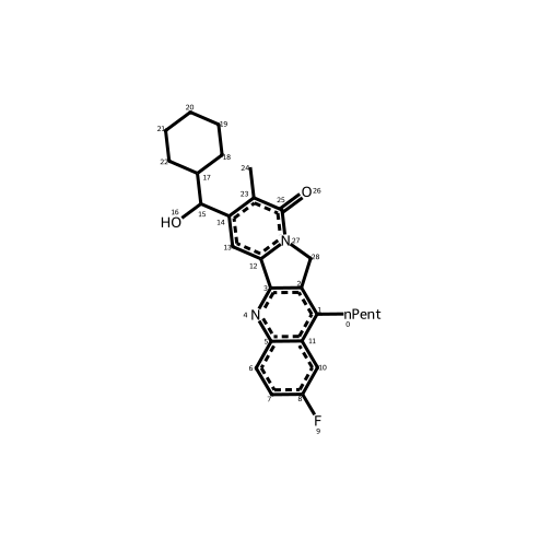 CCCCCc1c2c(nc3ccc(F)cc13)-c1cc(C(O)C3CCCCC3)c(C)c(=O)n1C2